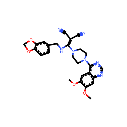 COc1cc2ncnc(N3CCN(C(NCc4ccc5c(c4)OCO5)=C(C#N)C#N)CC3)c2cc1OC